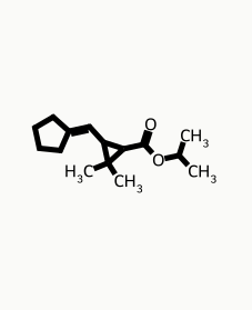 CC(C)OC(=O)C1C(C=C2CCCC2)C1(C)C